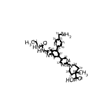 CCNC(=O)Nc1nc2cc(-c3cnc(N4CCC(C)(C(=O)O)CC4)nc3)cc(-c3ccc(CN)cn3)c2s1